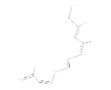 C\C(=C/C(F)=C\C=C\N/C=C\C(=N)Cl)CO